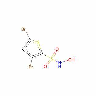 O=S(=O)(NO)c1sc(Br)cc1Br